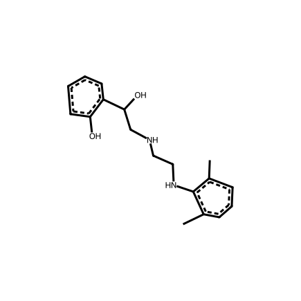 Cc1cccc(C)c1NCCNCC(O)c1ccccc1O